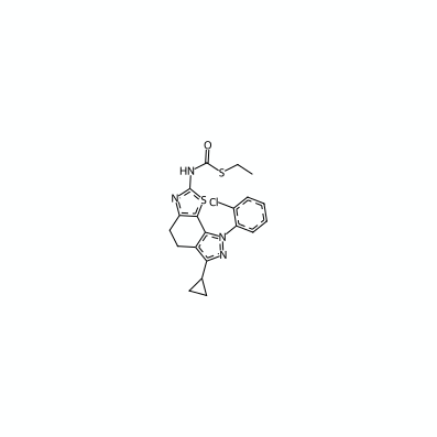 CCSC(=O)Nc1nc2c(s1)-c1c(c(C3CC3)nn1-c1ccccc1Cl)CC2